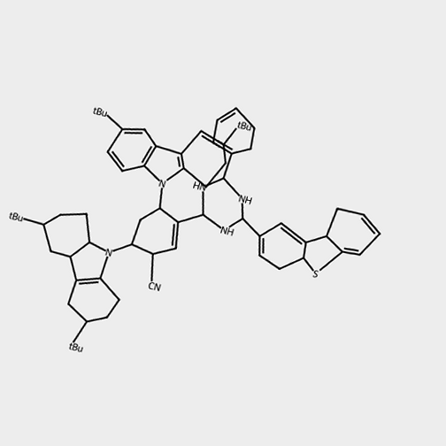 CC(C)(C)C1=Cc2c(n(C3CC(N4C5=C(CC(C(C)(C)C)CC5)C5CC(C(C)(C)C)CCC54)C(C#N)C=C3C3NC(C4=CCC5SC6=CC=CCC6C5=C4)NC(C4=CC=CCC4)N3)c3ccc(C(C)(C)C)cc23)CC1